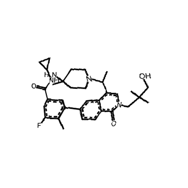 Cc1c(F)cc(C(=O)NC2CC2)cc1-c1ccc2c(=O)n(CC(C)(C)CO)cc(C(C)N3CCC(C)(N)CC3)c2c1